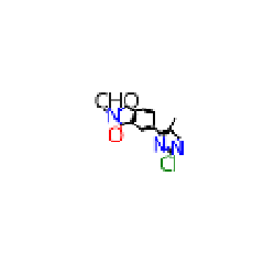 Cc1cnc(Cl)nc1-c1ccc2c(c1)C(=O)N(CC=O)C2